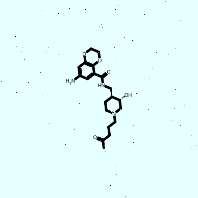 CC(=O)CCCN1CC[C@@H](CNC(=O)c2cc(N)cc3c2OCCO3)[C@H](O)C1